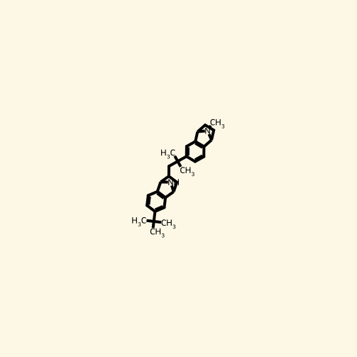 CN1C2CCC1c1cc(C(C)(C)CC3CC4NC3c3ccc(C(C)(C)C)cc34)ccc12